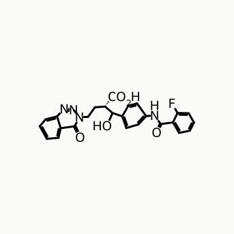 O=C(Nc1ccc(C(O)[C@H](CCn2nnc3ccccc3c2=O)C(=O)O)cc1)c1ccccc1F